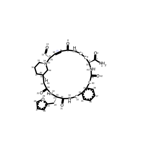 NC(=O)[C@@H]1CCNC(=O)/C=C\[C@@H](C=O)[N@]2CCC[C@H](CC(=O)N[C@@H](Cc3ccco3)C(=O)NCc3ccccc3CC(=O)N1)C2